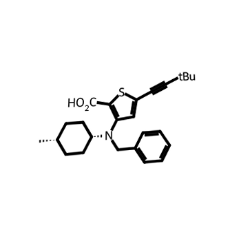 CC(C)(C)C#Cc1cc(N(Cc2ccccc2)[C@H]2CC[C@@H](C)CC2)c(C(=O)O)s1